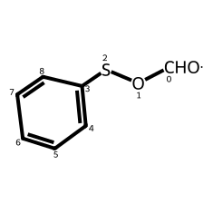 O=[C]OSc1ccccc1